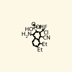 CCc1ccc2c(N)c(P(=O)(O)O)c(C(F)(F)Cl)c(C#N)c2c1CC